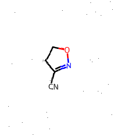 N#CC1=NOC[C]1